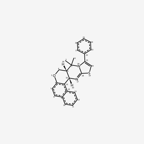 CC1(C)[C@H]2COc3ccc4ccccc4c3[C@H]2N=C2SC=C(c3ccccc3)N21